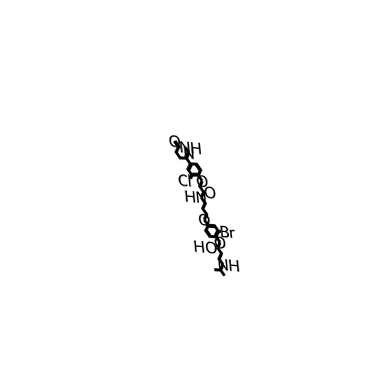 CC(C)NCCC(O)Oc1ccc(OCCCNC(=O)COc2ccc(C3=NNC(=O)CC3)cc2Cl)cc1Br